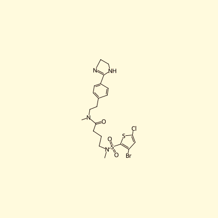 CN(CCc1ccc(C2=NCCN2)cc1)C(=O)CCCN(C)S(=O)(=O)c1sc(Cl)cc1Br